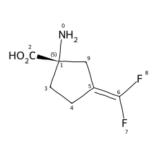 N[C@@]1(C(=O)O)CCC(=C(F)F)C1